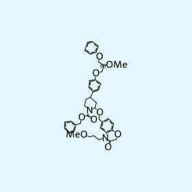 COCCCN1C(=O)COc2ccc(COC3CC(c4ccc(OC[C@@H](COc5ccccc5)OC)cc4)CCN3C(=O)OCc3ccccc3)cc21